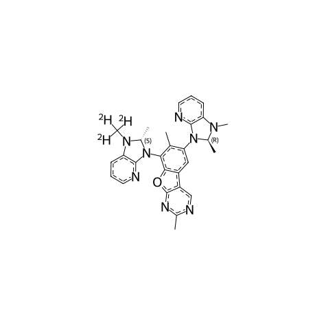 [2H]C([2H])([2H])N1c2cccnc2N(c2c(C)c(N3c4ncccc4N(C)[C@H]3C)cc3c2oc2nc(C)ncc23)[C@H]1C